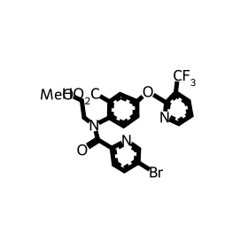 COCCN(C(=O)c1ccc(Br)cn1)c1ccc(Oc2ncccc2C(F)(F)F)cc1C(=O)O